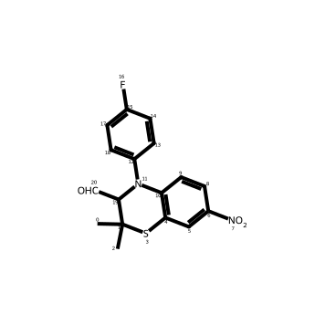 CC1(C)Sc2cc([N+](=O)[O-])ccc2N(c2ccc(F)cc2)C1C=O